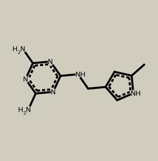 Cc1cc(CNc2nc(N)nc(N)n2)c[nH]1